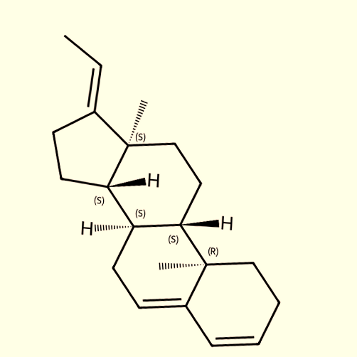 CC=C1CC[C@H]2[C@@H]3CC=C4C=CCC[C@]4(C)[C@H]3CC[C@]12C